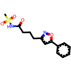 CS(=O)(=O)NC(=O)CCCc1cc(-c2ccccc2)on1